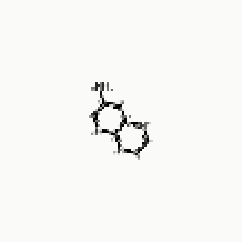 Nc1cnc2nccnc2c1